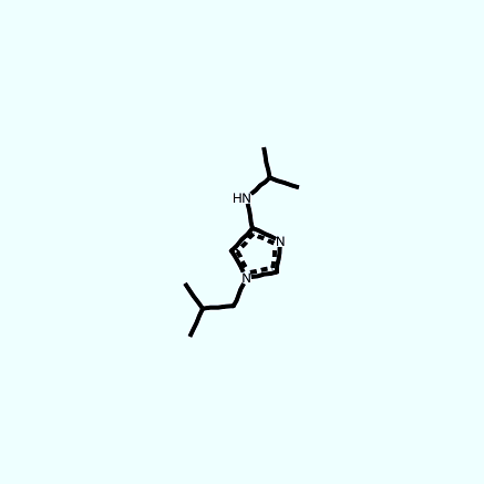 CC(C)Cn1cnc(NC(C)C)c1